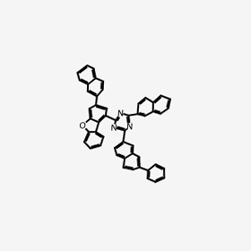 c1ccc(-c2ccc3ccc(-c4nc(-c5ccc6ccccc6c5)nc(-c5cc(-c6ccc7ccccc7c6)cc6oc7ccccc7c56)n4)cc3c2)cc1